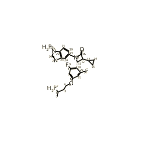 CC(P)CCOc1cc(F)c([C@H]2C(C3CC3)C(=O)N2c2ccc3c(c2)ncn3P)c(F)c1